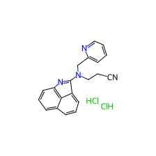 Cl.Cl.N#CCCN(Cc1ccccn1)C1=Nc2cccc3cccc1c23